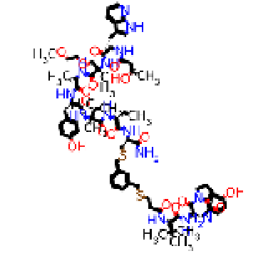 CC[C@H](NC(=O)[C@@](C)(NC(=O)[C@H](Cc1ccc(O)cc1)NC(=O)[C@H](C)NC(=O)C(C)(COCCOC)NC(=O)[C@H](Cc1c[nH]c2ncccc12)NC(=O)C[C@@H](C)O)C(C)C)C(=O)N[C@H](CSCc1cccc(CSCCC(=O)N[C@H](C(=O)N[C@@H](Cc2ccc(O)cc2)C(=O)N2CCC[C@H]2C(N)=O)C(C)(C)C)c1)C(N)=O